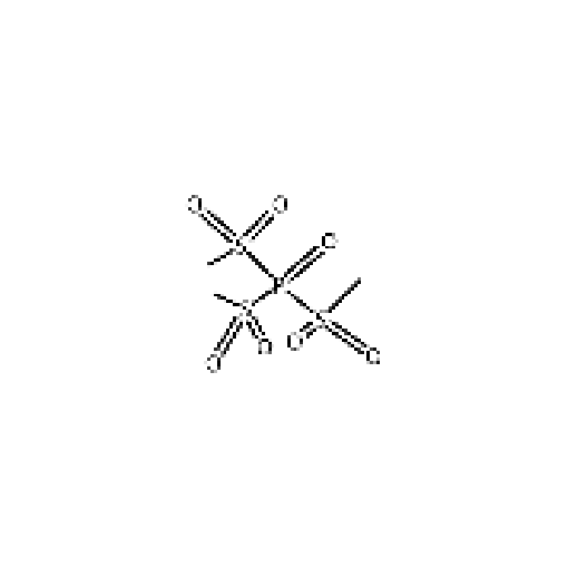 CS(=O)(=O)P(=O)(S(C)(=O)=O)S(C)(=O)=O